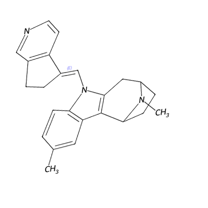 Cc1ccc2c(c1)c1c(n2/C=C2\CCc3cnccc32)CC2CCC1N2C